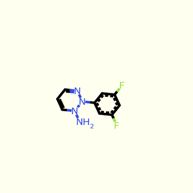 NN1C=CC=NN1c1cc(F)cc(F)c1